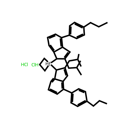 CCCc1ccc(-c2cccc3c2C=C(CC(C)C)[CH]3[Hf]2([CH]3C(CC(C)C)=Cc4c(-c5ccc(CCC)cc5)cccc43)[CH2]C[CH2]2)cc1.Cl.Cl